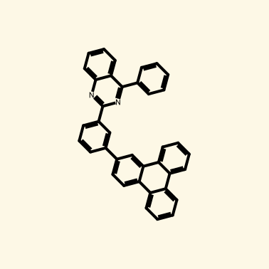 c1ccc(-c2nc(-c3cccc(-c4ccc5c6ccccc6c6ccccc6c5c4)c3)nc3ccccc23)cc1